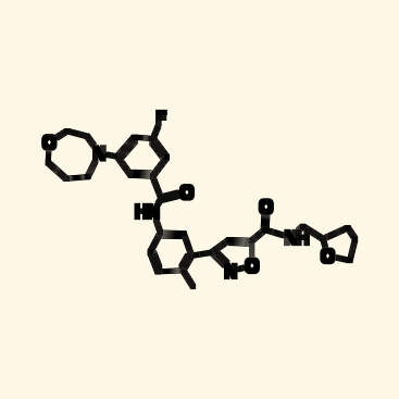 Cc1ccc(NC(=O)c2cc(F)cc(N3CCCOCC3)c2)cc1-c1cc(C(=O)NCC2CCCO2)on1